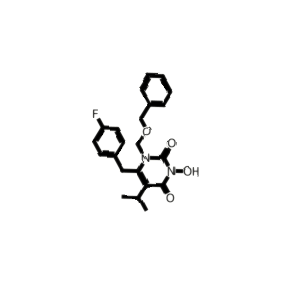 CC(C)c1c(Cc2ccc(F)cc2)n(COCc2ccccc2)c(=O)n(O)c1=O